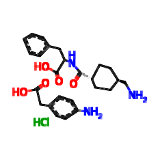 Cl.NC[C@H]1CC[C@H](C(=O)NC(Cc2ccccc2)C(=O)O)CC1.Nc1ccc(CC(=O)O)cc1